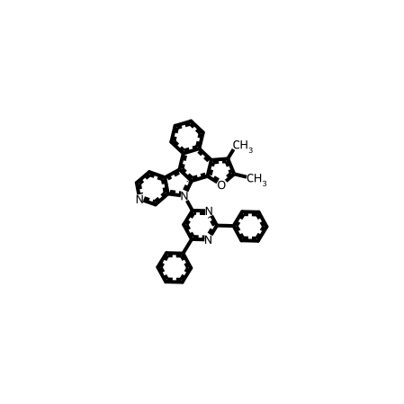 Cc1oc2c(c1C)c1ccccc1c1c3ccncc3n(-c3cc(-c4ccccc4)nc(-c4ccccc4)n3)c21